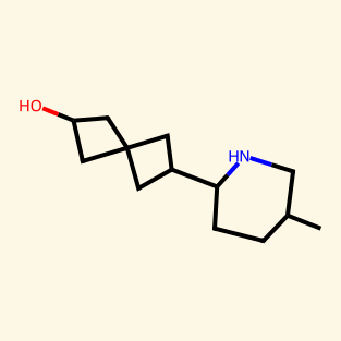 CC1CCC(C2CC3(CC(O)C3)C2)NC1